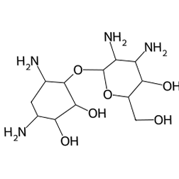 NC1CC(N)C(OC2OC(CO)C(O)C(N)C2N)C(O)C1O